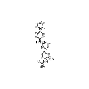 CC(C)C(=O)Nc1ccc(-c2ccnc(Nc3ccc(N4CCOCC4)cc3)n2)cc1C#N